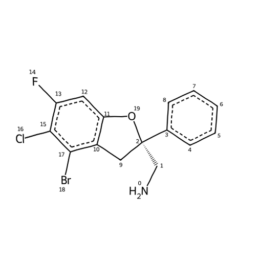 NC[C@]1(c2ccccc2)Cc2c(cc(F)c(Cl)c2Br)O1